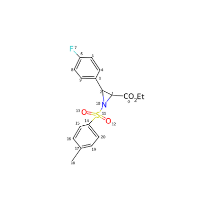 CCOC(=O)C1C(c2ccc(F)cc2)N1S(=O)(=O)c1ccc(C)cc1